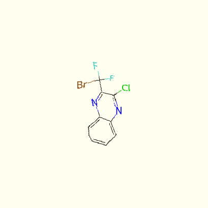 FC(F)(Br)c1nc2ccccc2nc1Cl